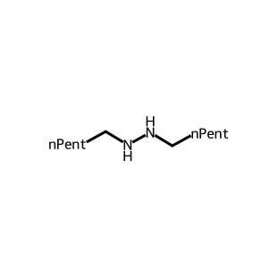 CCCCCCNNCCCCCC